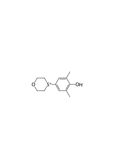 Cc1cc([S+]2CCOCC2)cc(C)c1O